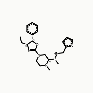 CC[C@@H]1N=C(N2CCN(C)[C@H](P(C)NCc3cccs3)C2)O[C@H]1c1ccccc1